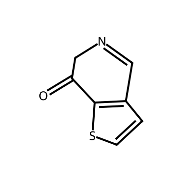 O=C1CN=Cc2ccsc21